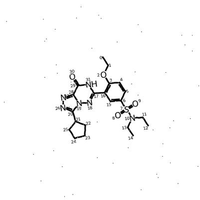 CCOc1ccc(S(=O)(=O)N(CC)CC)cc1-c1nn2c(C3CCCC3)nnc2c(=O)[nH]1